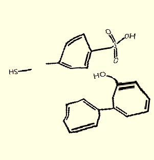 CS.Cc1ccc(S(=O)(=O)O)cc1.Oc1ccccc1-c1ccccc1